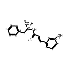 O=C(C=Cc1cccc(O)c1)N[C@@H](Cc1ccccc1)C(=O)O